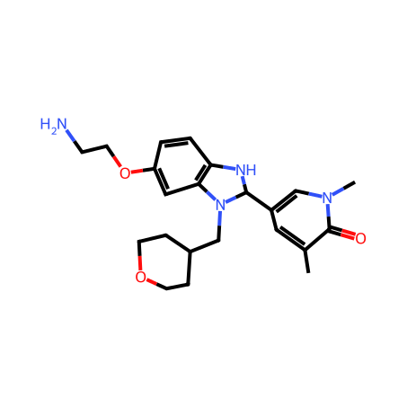 Cc1cc(C2Nc3ccc(OCCN)cc3N2CC2CCOCC2)cn(C)c1=O